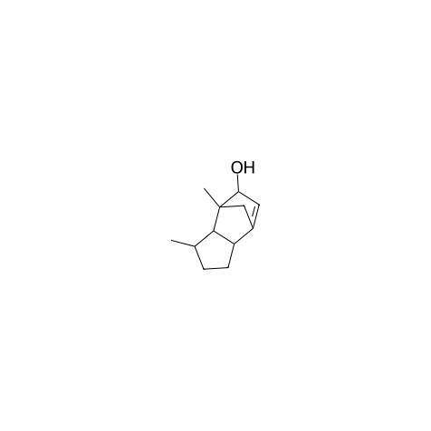 CC1CCC2C3=CC(O)C(C)(C3)C12